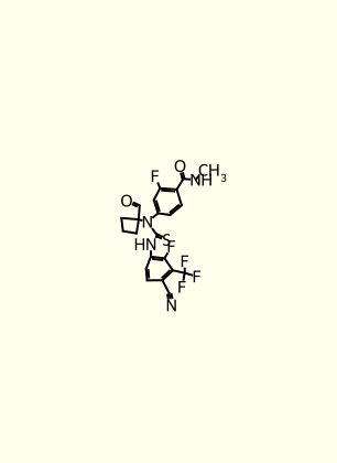 CNC(=O)c1ccc(N(C(=S)Nc2ccc(C#N)c(C(F)(F)F)c2F)C2(C=O)CCC2)cc1F